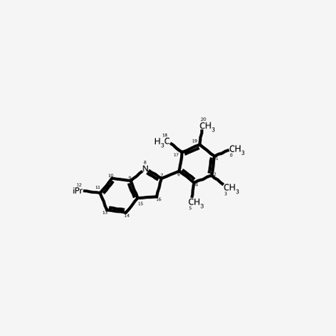 Cc1c(C)c(C)c(C2=Nc3cc(C(C)C)ccc3C2)c(C)c1C